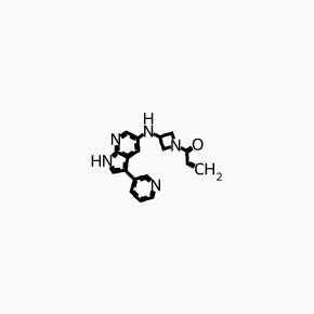 C=CC(=O)N1CC(Nc2cnc3[nH]cc(-c4cccnc4)c3c2)C1